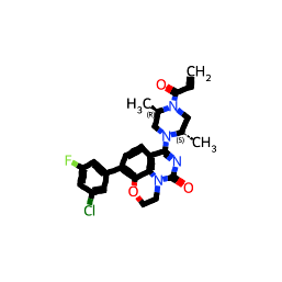 C=CC(=O)N1C[C@H](C)N(c2nc(=O)n3c4c(c(-c5cc(F)cc(Cl)c5)ccc24)OCC3)C[C@H]1C